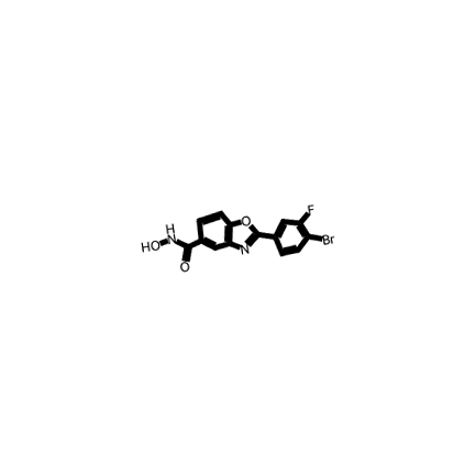 O=C(NO)c1ccc2oc(-c3ccc(Br)c(F)c3)nc2c1